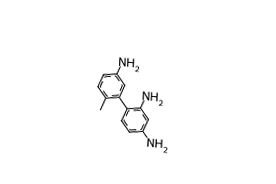 Cc1ccc(N)cc1-c1ccc(N)cc1N